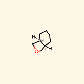 C1CC[C@@H]2COC[C@H]2C1